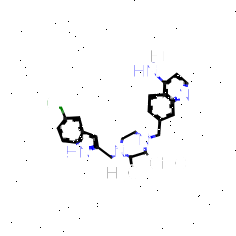 CCNc1ccnc2cc(CN3CCN(Cc4cc5cc(Cl)ccc5[nH]4)C(C)C3C=O)ccc12